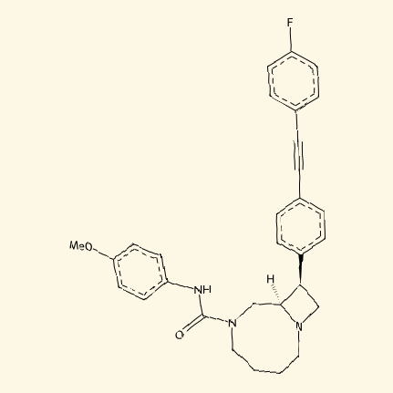 COc1ccc(NC(=O)N2CCCCN3C[C@H](c4ccc(C#Cc5ccc(F)cc5)cc4)[C@@H]3C2)cc1